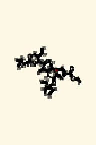 CCOC(=O)c1csc([C@@H](C[C@H](C(C)C)N(C)C(=O)[C@@H](NC(=O)C[N+](C)(C)C)C(C)CC)O[Si](CC)(CC)CC)n1